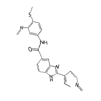 C=N/C=C\C(=C/C)c1nc2cc(C(=O)Nc3ccc(SC)c(N=C)c3)ccc2[nH]1